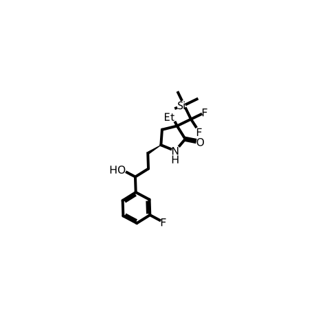 CCC1(C(F)(F)[Si](C)(C)C)C[C@H](CCC(O)c2cccc(F)c2)NC1=O